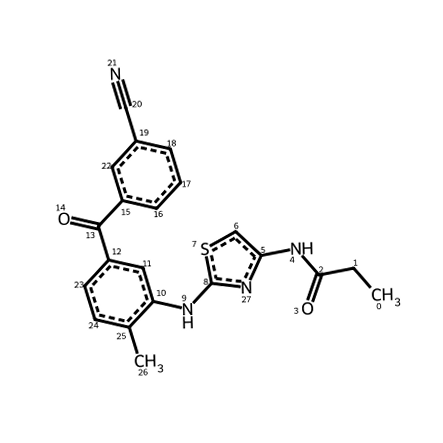 CCC(=O)Nc1csc(Nc2cc(C(=O)c3cccc(C#N)c3)ccc2C)n1